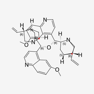 C=C[C@H]1CN2CC[C@H]1C[C@H]2[C@H](O[C@H](c1ccnc2ccc(OC)cc12)[C@@H]1C[C@@H]2CCN1C[C@@H]2C=C)c1ccnc2ccc(OC)cc12